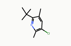 Cc1cc(Cl)c(C)nc1C(C)(C)C